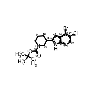 CC(C)(C)OC(=O)N1CCCC(c2cc3c(Br)c(Cl)cnc3[nH]2)C1